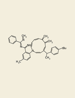 C=N/C(=N\C(=N)c1cc(C)ccc1N1/C=C\C=C/C(=C)C(=C)/C=C(C(C)c2ccc(C(C)(C)C)cc2)\C=C/1)c1ccccc1